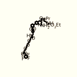 CCCN(CCCNC(=O)OCC)C(=O)C1=Cc2ccc(-c3cccc(S(=O)(=O)N4CC(CNC(=O)CCOCCOCCOCCC(=O)Oc5c(F)c(F)cc(F)c5F)C4)c3)cc2N=C(N)C1